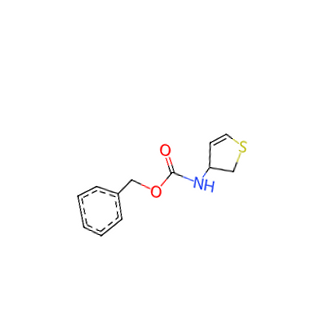 O=C(NC1C=CSC1)OCc1ccccc1